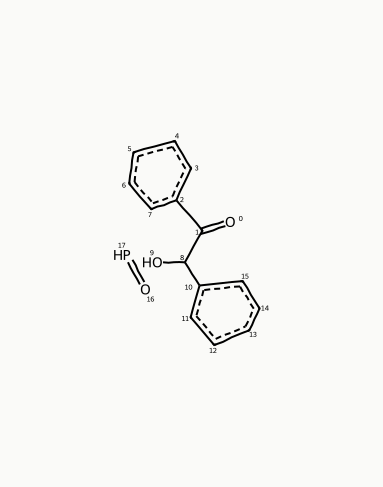 O=C(c1ccccc1)C(O)c1ccccc1.O=P